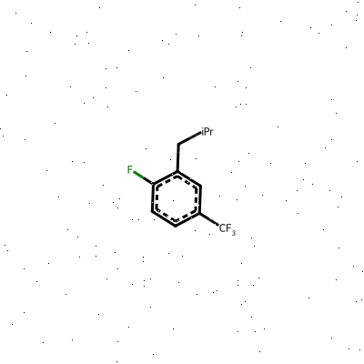 CC(C)Cc1cc(C(F)(F)F)ccc1F